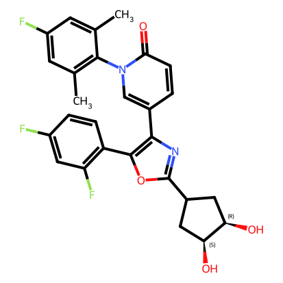 Cc1cc(F)cc(C)c1-n1cc(-c2nc(C3C[C@@H](O)[C@@H](O)C3)oc2-c2ccc(F)cc2F)ccc1=O